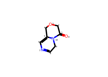 O=C1COCC2=CN=CCN12